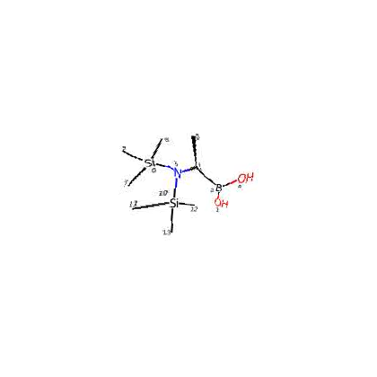 C[C@@H](B(O)O)N([Si](C)(C)C)[Si](C)(C)C